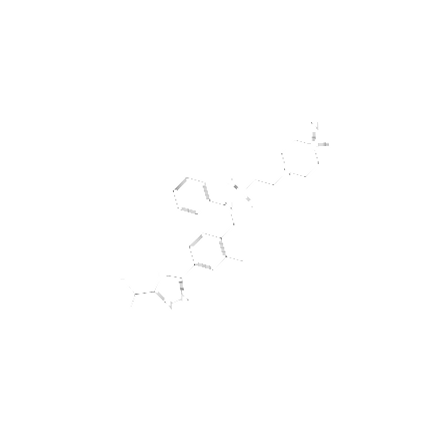 N=S1(=O)CCN(CCS(=O)(=O)N(Cc2ccc(-c3nnc(C(F)F)o3)cc2F)c2ccccc2)CC1